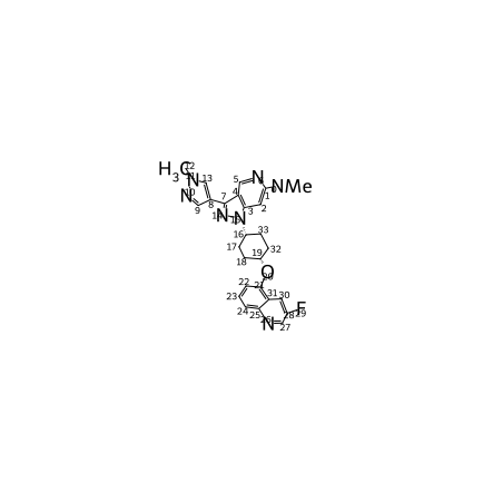 CNc1cc2c(cn1)c(-c1cnn(C)c1)nn2[C@H]1CC[C@@H](Oc2cccc3ncc(F)cc23)CC1